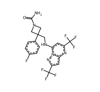 NC(=O)N1CC(CNc2cc(C(F)(F)F)nc3cc(C(F)(F)F)nn23)(c2ccc(F)cc2)C1